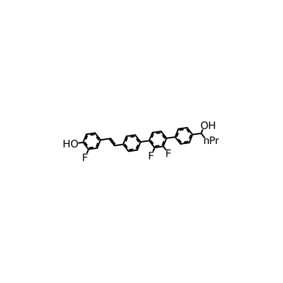 CCCC(O)c1ccc(-c2ccc(-c3ccc(/C=C/c4ccc(O)c(F)c4)cc3)c(F)c2F)cc1